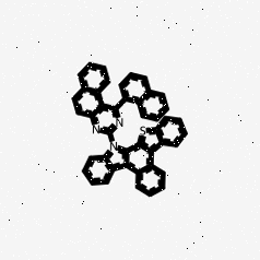 c1ccc2c(-c3nc(-n4c5ccccc5c5c6ccccc6c6c7ccccc7sc6c54)nc4ccc5ccccc5c34)cccc2c1